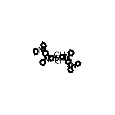 C[Si](C)(c1ccc2c(c1)c1cc3c4ccccc4n(-c4ccccc4)c3cc1n2-c1ccccc1)c1ccc2c(c1)c1cc3c4ccccc4n(-c4ccccc4)c3cc1n2-c1ccccc1